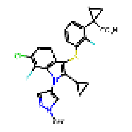 CCCn1cc(-n2c(C3CC3)c(Sc3cccc(C4(C(=O)O)CC4)c3F)c3ccc(Cl)c(F)c32)cn1